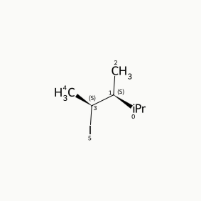 CC(C)[C@H](C)[C@H](C)I